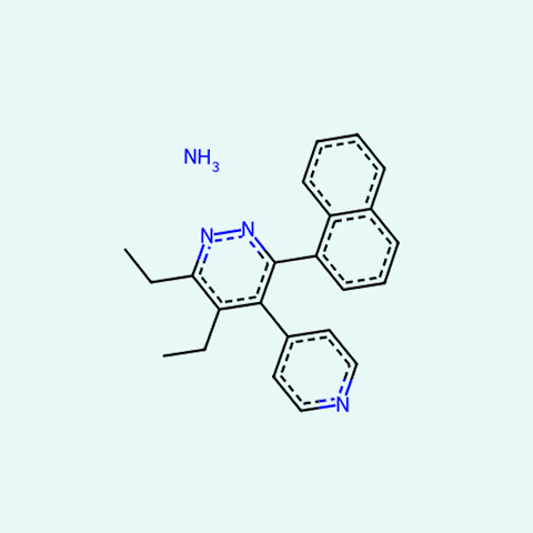 CCc1nnc(-c2cccc3ccccc23)c(-c2ccncc2)c1CC.N